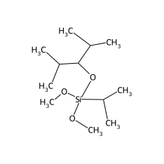 CO[Si](OC)(OC(C(C)C)C(C)C)C(C)C